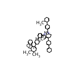 CCC1/C(C2=CC=CC(C3CC=C(C4=CCC(C)C(C)C(CC)C4C4=CCCC=C4)CC3)C2)=N\C(C2=CCC(C3C=CCCC3C)C=C2)=C(/C)CCC1C1CC=C(C2=CCCCC2)CC1